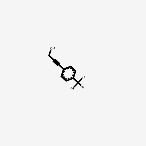 [2H]C([2H])([2H])c1ccc(C#CCO)cc1